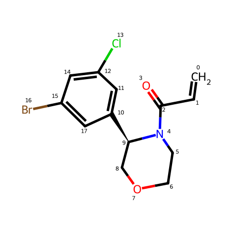 C=CC(=O)N1CCOC[C@H]1c1cc(Cl)cc(Br)c1